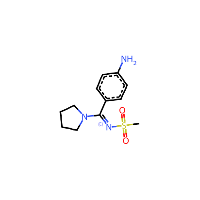 CS(=O)(=O)/N=C(\c1ccc(N)cc1)N1CCCC1